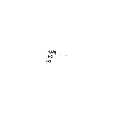 Cl.Cl.Cl.[Cr].[MgH2]